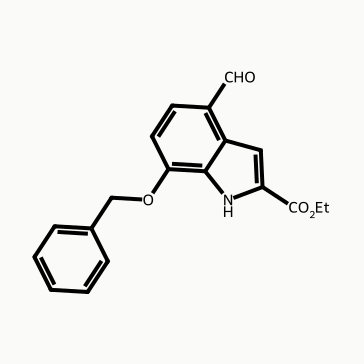 CCOC(=O)c1cc2c(C=O)ccc(OCc3ccccc3)c2[nH]1